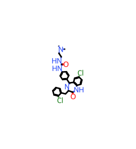 CN(C)CCNC(=O)Nc1ccc(C2=NC(Cc3ccccc3Cl)C(=O)Nc3ccc(Cl)cc32)cc1